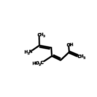 C=C(O)/C=C(\C=C(\C)N)C(=O)O